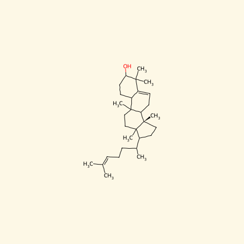 CC(C)=CCCC(C)C1CC[C@@]2(C)C3CC=C4C(CCC(O)C4(C)C)C3(C)CCC12C